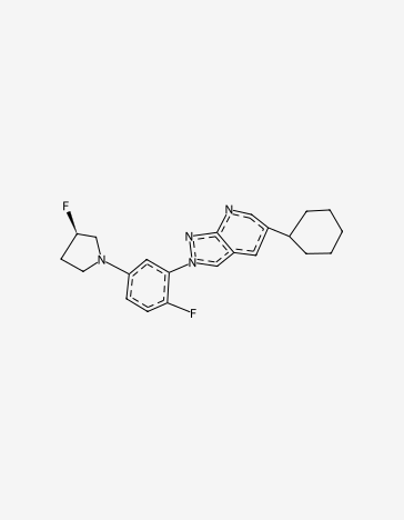 Fc1ccc(N2CC[C@@H](F)C2)cc1-n1cc2cc(C3CCCCC3)cnc2n1